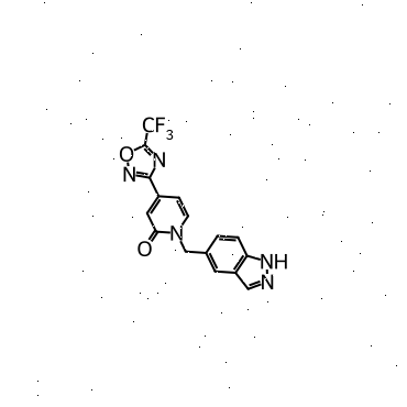 O=c1cc(-c2noc(C(F)(F)F)n2)ccn1Cc1ccc2[nH]ncc2c1